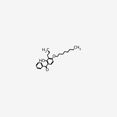 C=CCc1c(OCCCCCCCC)ccc(C(=O)c2ccccc2)c1O